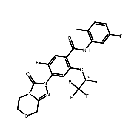 Cc1ccc(F)cc1NC(=O)c1cc(F)c(-n2nc3n(c2=O)CCOC3)cc1O[C@@H](C)C(F)(F)F